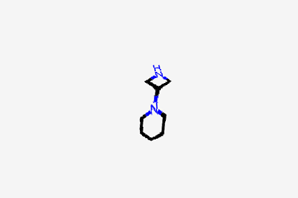 C1CCN(C2CNC2)CC1